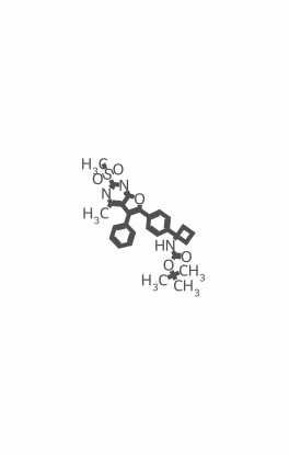 Cc1nc(S(C)(=O)=O)nc2oc(-c3ccc(C4(NC(=O)OC(C)(C)C)CCC4)cc3)c(-c3ccccc3)c12